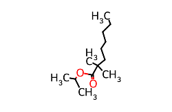 CCCCCCC(C)(C)C(=O)OC(C)C